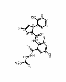 COC(=O)NNC(=O)c1cc(Cl)cc(C)c1NC(=O)c1cc(Br)cn1-c1cccnc1Cl